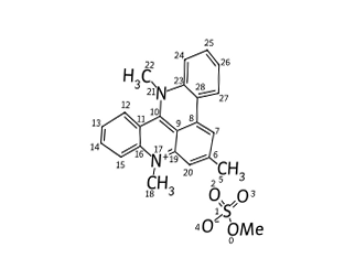 COS(=O)(=O)[O-].Cc1cc2c3c(c4ccccc4[n+](C)c3c1)N(C)c1ccccc1-2